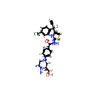 C#C[C@](C)(c1ccc(Cl)cc1)c1csc(NC(=O)c2ccc(N3CCNC(CO)C3)cc2)n1